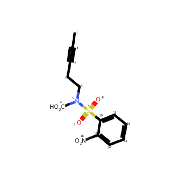 CC#CCCN(C(=O)O)S(=O)(=O)c1ccccc1[N+](=O)[O-]